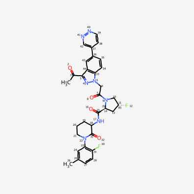 CC(=O)c1nn(CC(=O)N2C[C@H](F)C[C@H]2C(=O)NC2CCCN(c3cc(C)ccc3F)C2=O)c2ccc(-c3ccnnc3)cc12